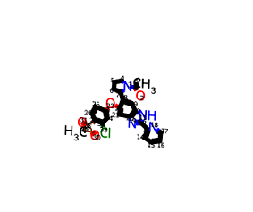 CC(=O)N1CCCC1c1cc2[nH]c(-c3ccccn3)nc2cc1Oc1ccc(S(C)(=O)=O)c(Cl)c1